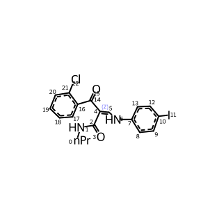 CCCNC(=O)/C(=C\Nc1ccc(I)cc1)C(=O)c1ccccc1Cl